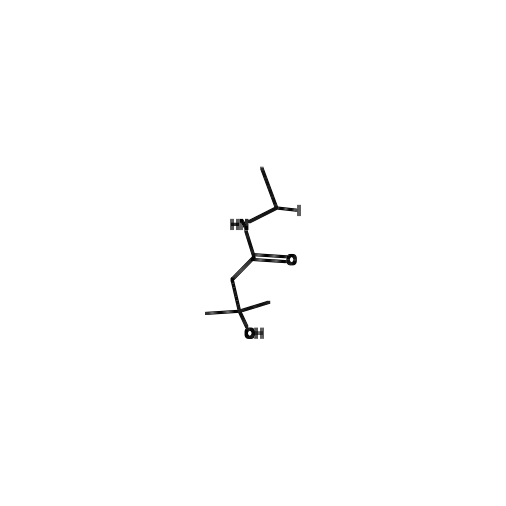 CC(I)NC(=O)CC(C)(C)O